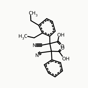 CCc1cccc(C(C#N)(C(=O)O)C(C#N)(C(=O)O)c2ccccc2)c1CC